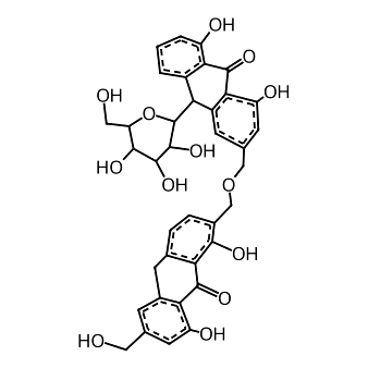 O=C1c2c(O)cccc2C(C2OC(CO)C(O)C(O)C2O)c2cc(COCc3ccc4c(c3O)C(=O)c3c(O)cc(CO)cc3C4)cc(O)c21